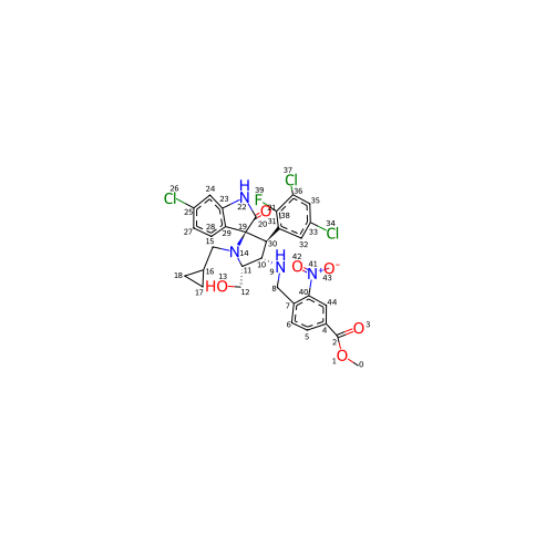 COC(=O)c1ccc(CN[C@@H]2[C@H](CO)N(CC3CC3)[C@@]3(C(=O)Nc4cc(Cl)ccc43)[C@H]2c2cc(Cl)cc(Cl)c2F)c([N+](=O)[O-])c1